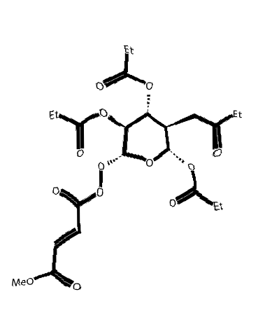 CCC(=O)C[C@H]1[C@H](OC(=O)CC)O[C@H](OOC(=O)/C=C/C(=O)OC)[C@@H](OC(=O)CC)[C@@H]1OC(=O)CC